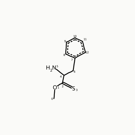 COC(=S)C(N)Cc1ccccc1